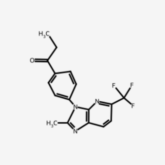 CCC(=O)c1ccc(-n2c(C)nc3ccc(C(F)(F)F)nc32)cc1